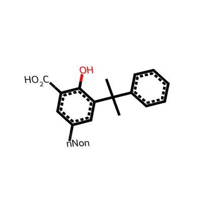 CCCCCCCCCc1cc(C(=O)O)c(O)c(C(C)(C)c2ccccc2)c1